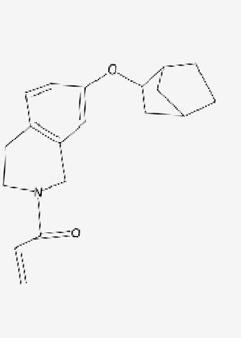 C=CC(=O)N1CCc2ccc(OC3CC4CCC3C4)cc2C1